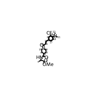 COC(=O)C(C)NC(=O)C1CCN(C(=O)C=Cc2ccc(N(C)C)c(C(F)(F)F)c2)CC1